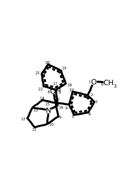 COc1cccc(C2(O)CC3CCC(C2)N3Cc2ccccc2)c1